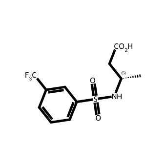 C[C@@H](CC(=O)O)NS(=O)(=O)c1cccc(C(F)(F)F)c1